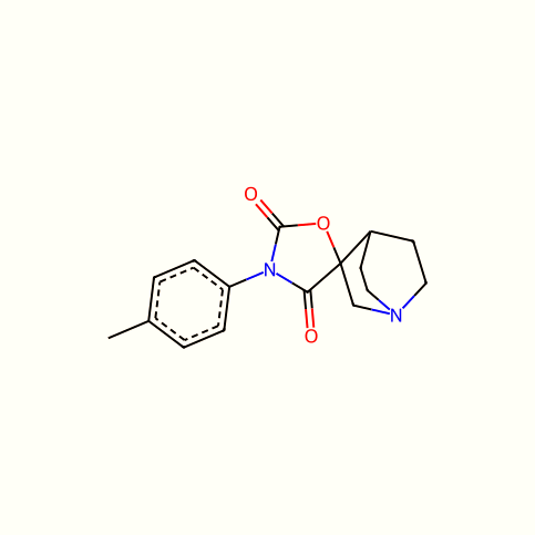 Cc1ccc(N2C(=O)OC3(CN4CCC3CC4)C2=O)cc1